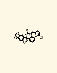 S=C1NC2(COc3cc4c(cc32)OCO4)c2ccccc2N1CC1CC=C(Cl)O1